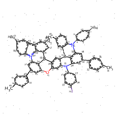 CCCCc1ccc(N2c3ccc(C)cc3B3c4cc5c(cc4N(c4ccc(I)cc4)c4cc(-c6ccc(C)cc6)cc2c43)Oc2cc(-c3ccc(C)cc3)cc3c2B5c2cc(C)cc4c5cc(CCCC)ccc5n-3c24)cc1